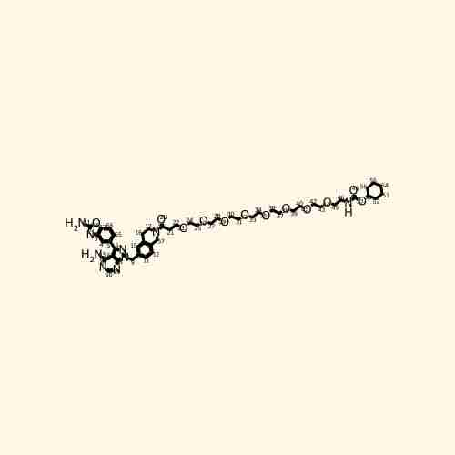 Nc1nc2cc(-c3nn(Cc4ccc5c(c4)CCN(C(=O)CCOCCOCCOCCOCCOCCOCCOCCOCCNC(=O)OC4CCCCC4)C5)c4ncnc(N)c34)ccc2o1